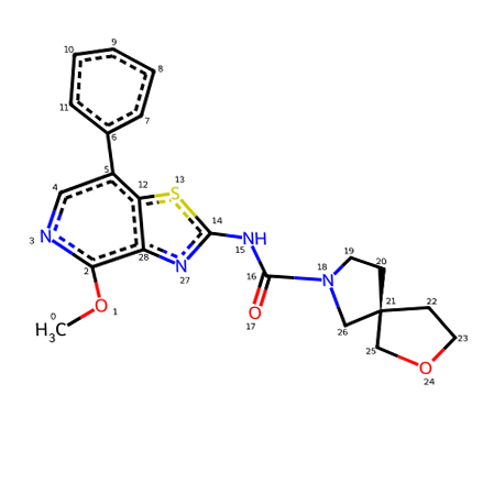 COc1ncc(-c2ccccc2)c2sc(NC(=O)N3CC[C@]4(CCOC4)C3)nc12